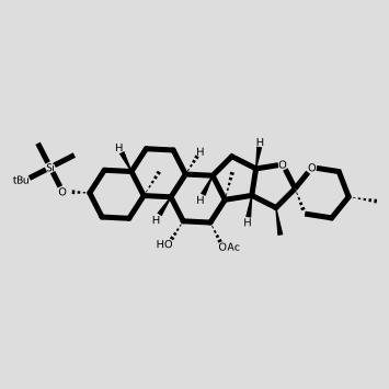 CC(=O)O[C@@H]1[C@H](O)[C@H]2[C@@H](CC[C@H]3C[C@@H](O[Si](C)(C)C(C)(C)C)CC[C@@]32C)[C@@H]2C[C@@H]3O[C@]4(CC[C@@H](C)CO4)[C@@H](C)[C@@H]3[C@@]12C